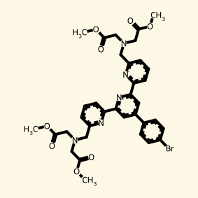 COC(=O)CN(CC(=O)OC)Cc1cccc(-c2cc(-c3ccc(Br)cc3)cc(-c3cccc(CN(CC(=O)OC)CC(=O)OC)n3)n2)n1